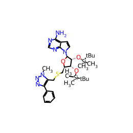 Cn1nnc(-c2ccccc2)c1CSC[C@H]1O[C@@H](n2ccc3c(N)ncnc32)[C@H](O[Si](C)(C)C(C)(C)C)[C@@H]1O[Si](C)(C)C(C)(C)C